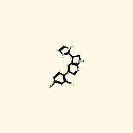 Fc1ccc(-c2cnc3c(c2)C(c2ncco2)CN3)c(F)c1